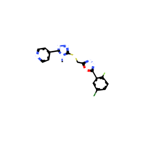 Cn1c(SCc2nnc(-c3cc(Cl)ccc3F)o2)nnc1-c1ccncc1